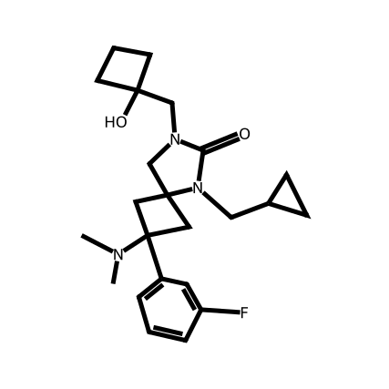 CN(C)C1(c2cccc(F)c2)CC2(CN(CC3(O)CCC3)C(=O)N2CC2CC2)C1